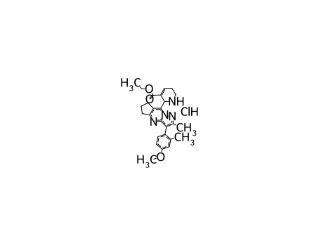 CCOC(=O)C1=CCCNC1c1c2c(nc3c(-c4ccc(OC)cc4C)c(C)nn13)CCC2.Cl